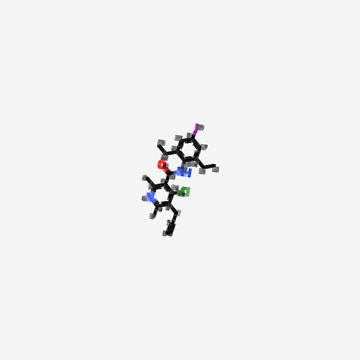 C#CCc1c(C)nc(C)c(C(=O)Nc2c(CC)cc(I)cc2CC)c1Cl